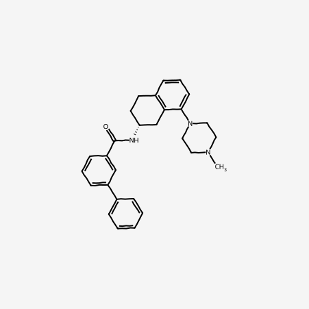 CN1CCN(c2cccc3c2C[C@H](NC(=O)c2cccc(-c4ccccc4)c2)CC3)CC1